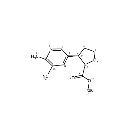 Cc1ncc([C@H]2CCON2C(=O)OC(C)(C)C)cc1C#N